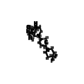 CC1(C)CC2CN(c3ccc(N4CCC(F)(F)CC4)cc3)C1CC(=O)N2